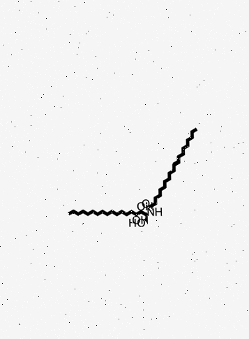 CCCCCCCC/C=C/CCCCCCCCCC(=O)N[C@@H](CO)[C@H](O)[C@H](O)CCCCCCCCCCCCCC